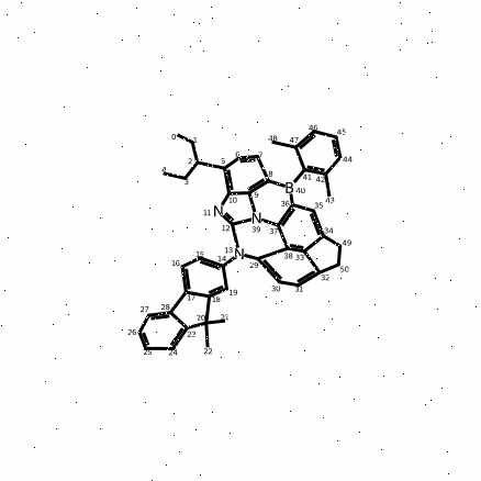 CCC(CC)c1ccc2c3c1nc1n(-c4ccc5c(c4)C(C)(C)c4ccccc4-5)c4ccc5c6c(cc(c(c64)n31)B2c1c(C)cccc1C)CC5